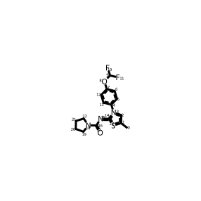 Cc1cn(-c2ccc(OC(F)F)cc2)c(=NC(=O)N2CCCC2)s1